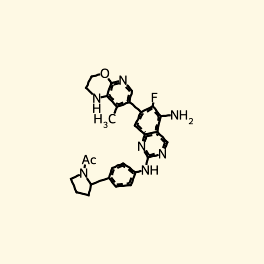 CC(=O)N1CCCC1c1ccc(Nc2ncc3c(N)c(F)c(-c4cnc5c(c4C)NCCO5)cc3n2)cc1